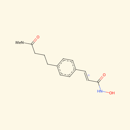 CNC(=O)CCCc1ccc(/C=C/C(=O)NO)cc1